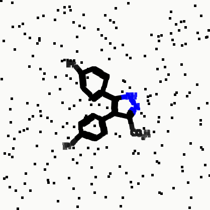 CC(C)c1ccc(-c2[nH]nc(C(=O)O)c2-c2ccc(C(C)C)cc2)cc1